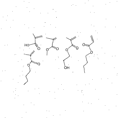 C=C(C)C(=O)O.C=C(C)C(=O)OC.C=C(C)C(=O)OCCCC.C=C(C)C(=O)OCCO.C=CC(=O)OCCCC